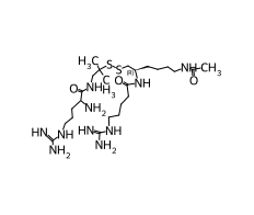 CC(=O)NCCCC[C@H](CSSC(C)(C)CNC(=O)C(N)CCCNC(=N)N)NC(=O)CCCCNC(=N)N